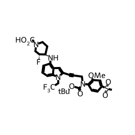 COc1cc(S(C)(=O)=O)ccc1N(CC#Cc1cc2c(N[C@H]3CCN(C(=O)O)C[C@H]3F)cccc2n1CC(F)(F)F)C(=O)OC(C)(C)C